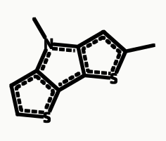 Cc1cc2c(s1)c1sccc1n2C